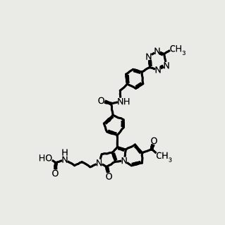 CC(=O)c1ccn2c3c(c(-c4ccc(C(=O)NCc5ccc(-c6nnc(C)nn6)cc5)cc4)c2c1)CN(CCCNC(=O)O)C3=O